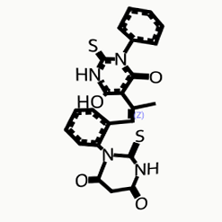 C/C(=C/c1ccccc1N1C(=O)CC(=O)NC1=S)c1c(O)[nH]c(=S)n(-c2ccccc2)c1=O